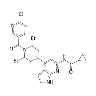 CCC1C=C(c2cc(NC(=O)C3CC3)nc3[nH]ccc23)CC(CC)N1C(=O)c1ccc(Cl)nc1